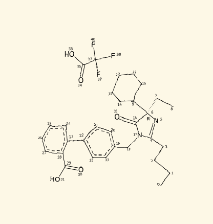 CCCCC1=N[C@](CC)(C2CCCCC2)C(=O)N1Cc1ccc(-c2ccccc2C(=O)O)cc1.O=C(O)C(F)(F)F